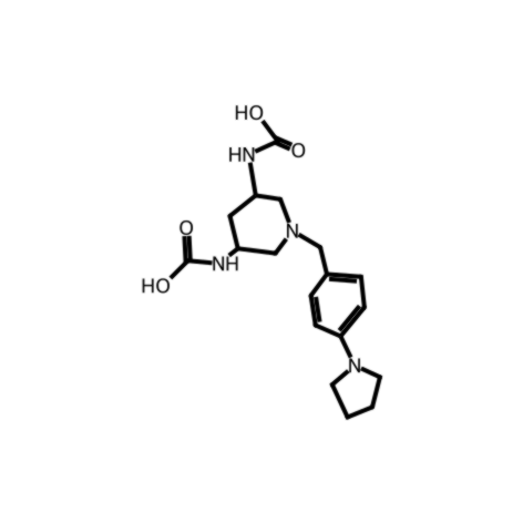 O=C(O)NC1CC(NC(=O)O)CN(Cc2ccc(N3CCCC3)cc2)C1